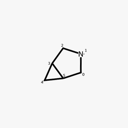 C1[N]CC2CC12